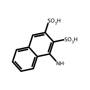 [NH]c1c(S(=O)(=O)O)c(S(=O)(=O)O)cc2ccccc12